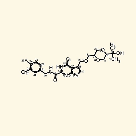 CC(C)(O)C1COC(COCc2csc3nc(C(=O)NCc4ccc(F)c(Cl)c4)[nH]c(=O)c23)CO1